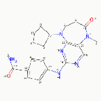 CN1C(=O)CCN(C2CCCC2)c2nc(Nc3ccc(C(N)=O)cc3)ncc21